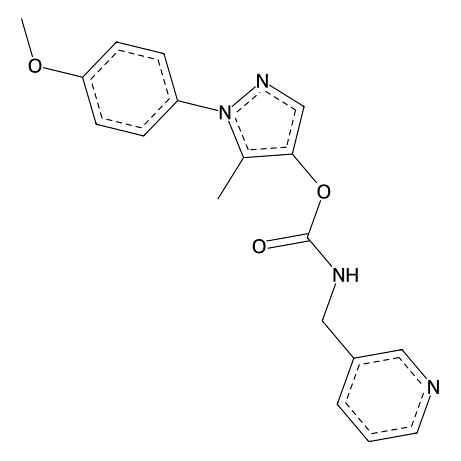 COc1ccc(-n2ncc(OC(=O)NCc3cccnc3)c2C)cc1